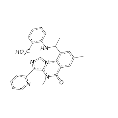 Cc1cc(C(C)Nc2ccccc2C(=O)O)c2c(c1)c(=O)n(C)c1c(-c3ccccn3)ncn21